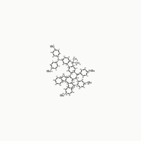 CC(C)(C)c1ccc(C(c2ccc(C(C)(C)C)cc2)c2ccc3c(c2)-c2cc4c(cc2C3(C)C)N(c2ccc(C(C)(C)C)cc2)B2c3cc(C(C)(C)C)ccc3-n3c5ccc(C(C)(C)C)cc5c5c6c(oc7ccccc76)c-4c2c53)cc1